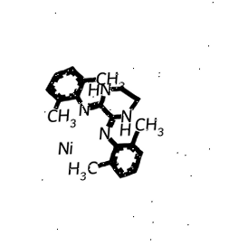 Cc1cccc(C)c1N=C1NCCNC1=Nc1c(C)cccc1C.[Ni]